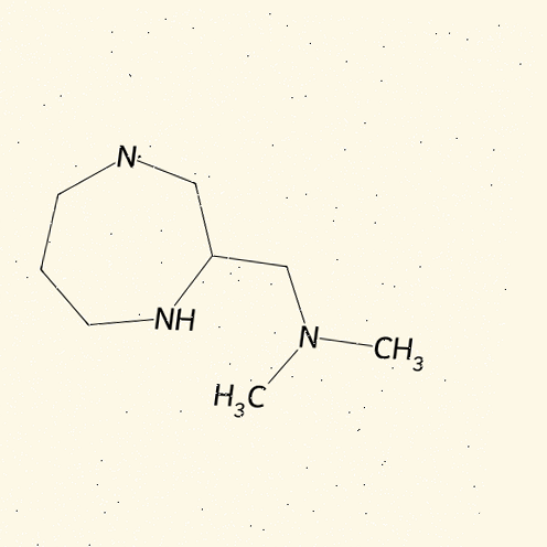 CN(C)CC1C[N]CCCN1